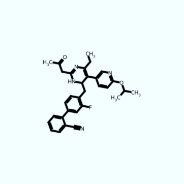 CCC1=C(c2ccc(OC(C)C)nc2)C(Cc2ccc(-c3ccccc3C#N)cc2F)NC(CC(C)=O)=N1